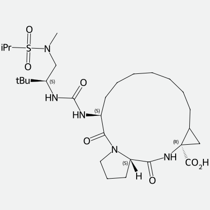 CC(C)S(=O)(=O)N(C)C[C@@H](NC(=O)N[C@H]1CCCCCCCC2C[C@@]2(C(=O)O)NC(=O)[C@@H]2CCCN2C1=O)C(C)(C)C